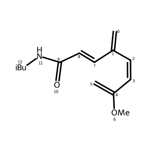 C=C(/C=C\C(=C)OC)/C=C/C(=O)NC(C)CC